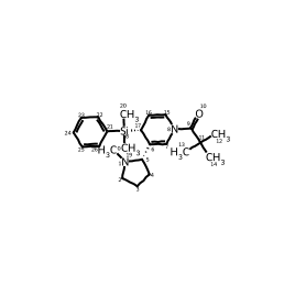 CN1CCC[C@H]1C1=CN(C(=O)C(C)(C)C)C=C[C@H]1[Si](C)(C)c1ccccc1